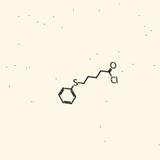 O=C(Cl)CCCCSc1ccccc1